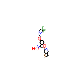 ON=c1cc(-c2cc3sccc3cn2)oc2ccc(OCCN3CCC(F)(F)C3)cc12